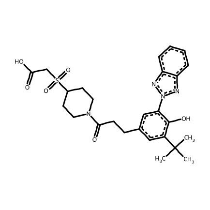 CC(C)(C)c1cc(CCC(=O)N2CCC(S(=O)(=O)CC(=O)O)CC2)cc(-n2nc3ccccc3n2)c1O